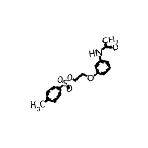 CC(=O)Nc1cccc(OCCOS(=O)(=O)c2ccc(C)cc2)c1